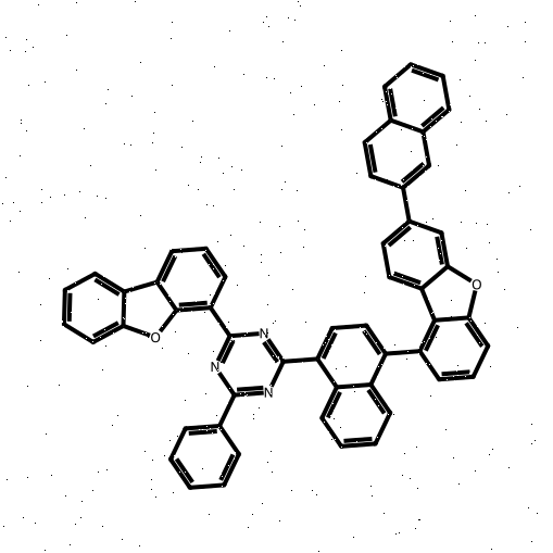 c1ccc(-c2nc(-c3ccc(-c4cccc5oc6cc(-c7ccc8ccccc8c7)ccc6c45)c4ccccc34)nc(-c3cccc4c3oc3ccccc34)n2)cc1